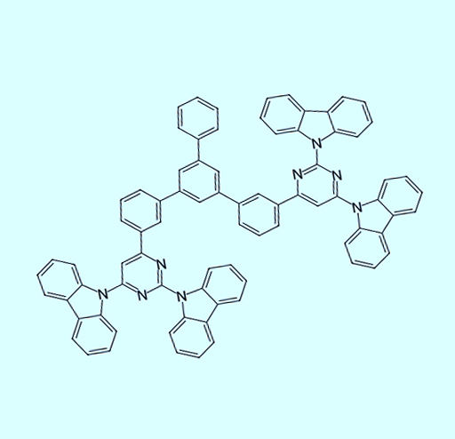 c1ccc(-c2cc(-c3cccc(-c4cc(-n5c6ccccc6c6ccccc65)nc(-n5c6ccccc6c6ccccc65)n4)c3)cc(-c3cccc(-c4cc(-n5c6ccccc6c6ccccc65)nc(-n5c6ccccc6c6ccccc65)n4)c3)c2)cc1